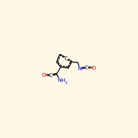 NC(=C=O)c1cccc(CN=C=O)c1